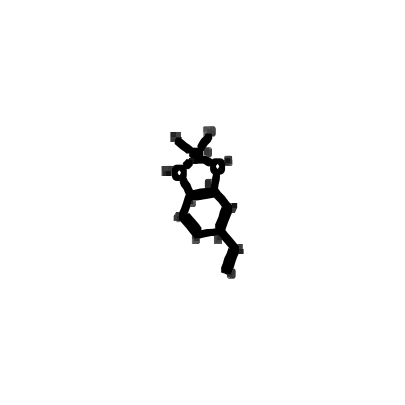 C=Cc1ccc2c(c1)O[Si](C)(C)O2